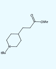 COC(=O)CCC1CCN(C(C)(C)C)CC1